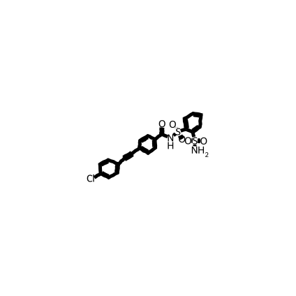 NS(=O)(=O)c1ccccc1S(=O)(=O)NC(=O)c1ccc(C#Cc2ccc(Cl)cc2)cc1